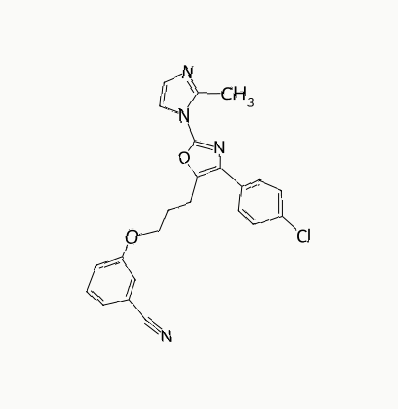 Cc1nccn1-c1nc(-c2ccc(Cl)cc2)c(CCCOc2cccc(C#N)c2)o1